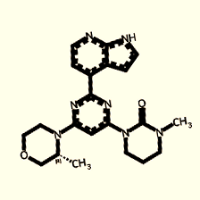 C[C@@H]1COCCN1c1cc(N2CCCN(C)C2=O)nc(-c2ccnc3[nH]ccc23)n1